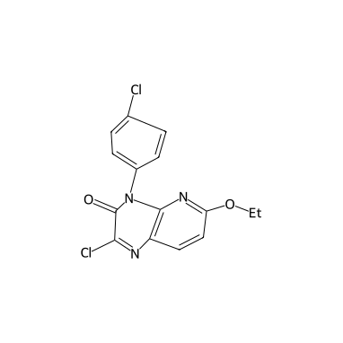 CCOc1ccc2nc(Cl)c(=O)n(-c3ccc(Cl)cc3)c2n1